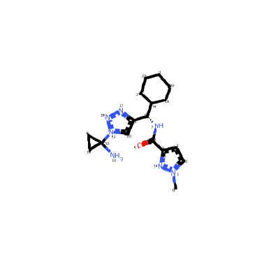 Cn1ccc(C(=O)N[C@H](c2cn(C3(N)CC3)nn2)C2CCCCC2)n1